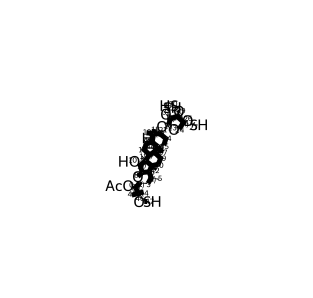 CC(=O)O[C@@H]([C@H]1C[C@@H](C)C2C(O1)[C@H](O)[C@@]1(C)[C@@H]3CC[C@H]4C(C)(C)[C@@H](OC5OC[C@@H](OS)[C@H](OS)[C@H]5OS)CC[C@@]45C[C@@]35CC[C@]21C)C(C)(C)OS